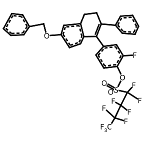 O=S(=O)(Oc1ccc(C2=C(c3ccccc3)CCc3cc(OCc4ccccc4)ccc32)cc1F)C(F)(F)C(F)(F)C(F)(F)C(F)(F)F